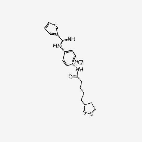 Cl.N=C(Nc1ccc(NC(=O)CCCCC2CCSS2)cc1)c1cccs1